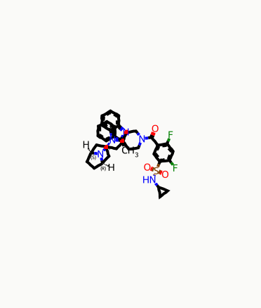 Cc1nc2ccccc2n1[C@H]1C[C@H]2CC[C@@H](C1)N2CCC1(c2ccccc2)CCN(C(=O)c2cc(S(=O)(=O)NC3CC3)c(F)cc2F)CC1